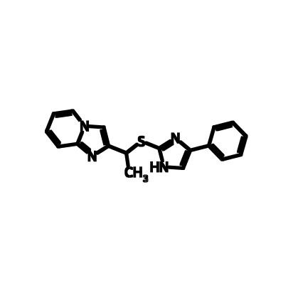 CC(Sc1nc(-c2ccccc2)c[nH]1)c1cn2ccccc2n1